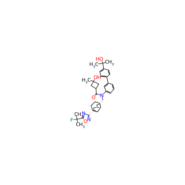 CC1(O)CC(C(=O)N(C[C@]23CC[C@](c4noc(C(C)(C)F)n4)(CC2)CC3)c2cccc(-c3ccc(C(C)(C)O)cc3)c2)C1